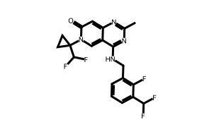 Cc1nc(NCc2cccc(C(F)F)c2F)c2cn(C3(C(F)F)CC3)c(=O)cc2n1